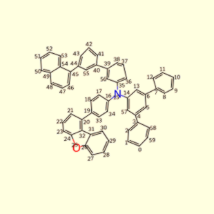 c1ccc(-c2cc(-c3ccccc3)cc(N(c3ccc(-c4cccc5oc6ccccc6c45)cc3)c3cccc(-c4cccc(-c5cccc6ccccc56)c4)c3)c2)cc1